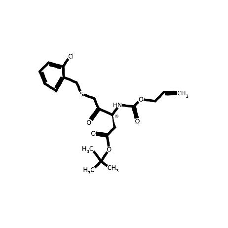 C=CCOC(=O)N[C@@H](CC(=O)OC(C)(C)C)C(=O)CSCc1ccccc1Cl